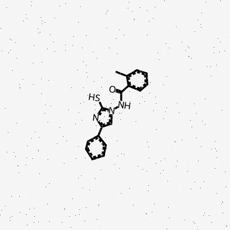 Cc1ccccc1C(=O)Nn1cc(-c2ccccc2)nc1S